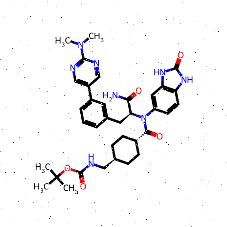 CN(C)c1ncc(-c2cccc(C[C@@H](C(N)=O)N(c3ccc4[nH]c(=O)[nH]c4c3)C(=O)[C@H]3CC[C@H](CNC(=O)OC(C)(C)C)CC3)c2)cn1